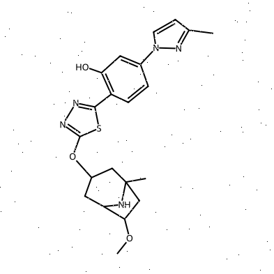 COC1CC2(C)CC(Oc3nnc(-c4ccc(-n5ccc(C)n5)cc4O)s3)CC1N2